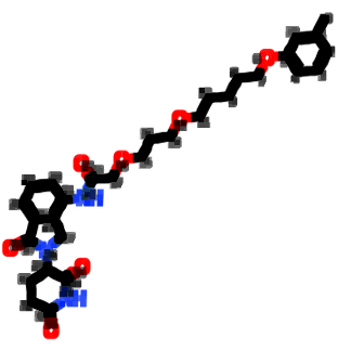 Cc1cccc(OCCCCCOCCCOCC(=O)Nc2cccc3c2CN(C2CCC(=O)NC2=O)C3=O)c1